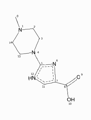 CN1CCN(c2nc(C(=O)O)c[nH]2)CC1